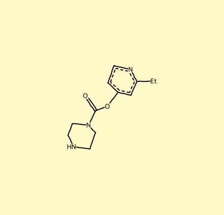 CCc1cc(OC(=O)N2CCNCC2)ccn1